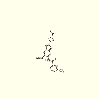 COc1cc2nn([C@H]3C[C@H](C(C)I)C3)cc2cc1NC(=O)c1cccc(C(F)(F)F)n1